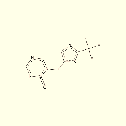 O=c1ncncn1Cc1cnc(C(F)(F)F)s1